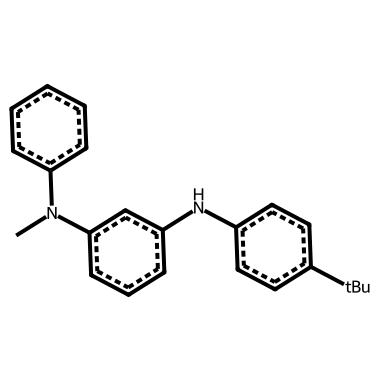 CN(c1ccccc1)c1cccc(Nc2ccc(C(C)(C)C)cc2)c1